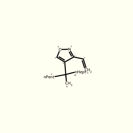 C=Cc1nocc1C(C)(CCCCC)CCCCCCC